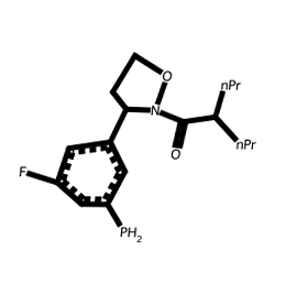 CCCC(CCC)C(=O)N1OCCC1c1cc(F)cc(P)c1